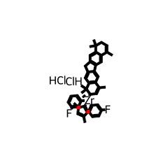 Cl.Cl.[CH2]=[Zr]([C]1=CC(C)=CC1C)([c]1cccc(F)c1)([c]1cccc(F)c1)[CH]1C=C(C)c2cc3c(cc2C1(C)C)Cc1cc2c(cc1-3)C(C)=CCC2(C)C